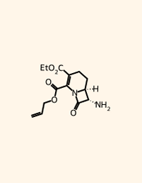 C=CCOC(=O)C1=C(C(=O)OCC)CC[C@H]2[C@H](N)C(=O)N12